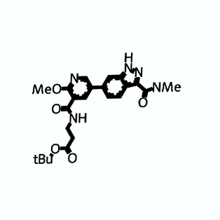 CNC(=O)c1n[nH]c2cc(-c3cnc(OC)c(C(=O)NCCC(=O)OC(C)(C)C)c3)ccc12